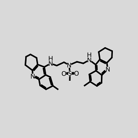 Cc1ccc2nc3c(c(NCCN(CCNc4c5c(nc6ccc(C)cc46)CCCC5)S(C)(=O)=O)c2c1)CCCC3